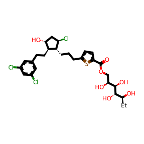 CC[C@H](O)[C@H](O)[C@H](O)[C@@H](O)COC(=O)c1ccc(CCC[C@@H]2[C@@H](CCc3cc(Cl)cc(Cl)c3)[C@H](O)C[C@H]2Cl)s1